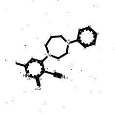 Cc1cc(N2CCCN(c3ccccc3)CC2)c(C#N)c(=S)[nH]1